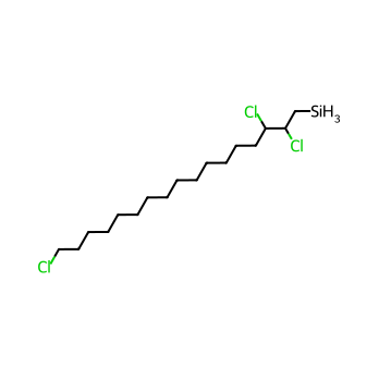 [SiH3]CC(Cl)C(Cl)CCCCCCCCCCCCCCCl